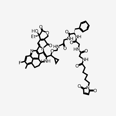 CC[C@@]1(O)C(=O)OCc2c1cc1c3nc4cc(F)c(C)c5c4c4c3c(n1c2=O)=C(C(OCNC(=O)CNC(=O)[C@H](Cc1ccccc1)NC(=O)CNC(=O)CNC(=O)CCCCCN1C(=O)C=CC1=O)C1CC1)N[C@H]4CC5